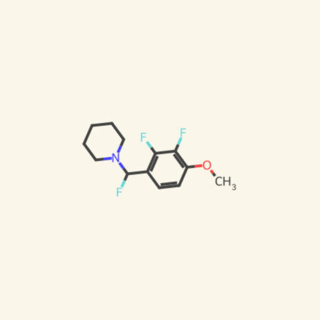 COc1ccc(C(F)N2CCCCC2)c(F)c1F